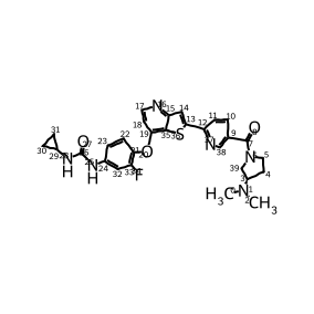 CN(C)[C@@H]1CCN(C(=O)c2ccc(-c3cc4nccc(Oc5ccc(NC(=O)NC6CC6)cc5F)c4s3)nc2)C1